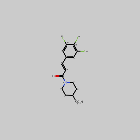 O=C(O)C1CCN(C(=O)C=Cc2cc(F)c(F)c(F)c2)CC1